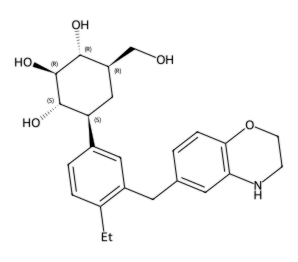 CCc1ccc([C@@H]2C[C@H](CO)[C@@H](O)[C@H](O)[C@H]2O)cc1Cc1ccc2c(c1)NCCO2